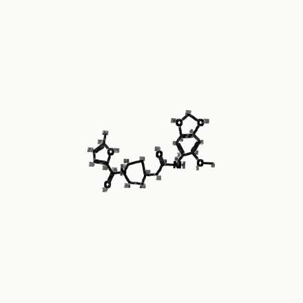 COc1cc2c(cc1NC(=O)CC1CCN(C(=O)c3ccc(C)o3)CC1)OCO2